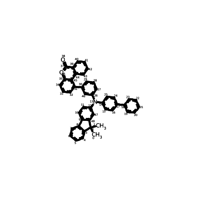 CC1(C)c2ccccc2-c2ccc(N(c3ccc(-c4ccccc4)cc3)c3cccc(-c4cccc5oc(=O)c6ccccc6c45)c3)cc21